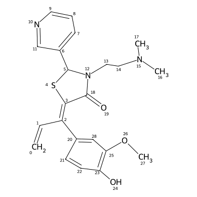 C=CC(=C1SC(c2cccnc2)N(CCN(C)C)C1=O)c1ccc(O)c(OC)c1